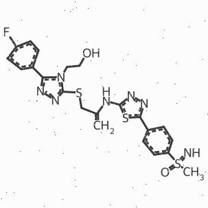 C=C(CSc1nnc(-c2ccc(F)cc2)n1CCO)Nc1nnc(-c2ccc(S(C)(=N)=O)cc2)s1